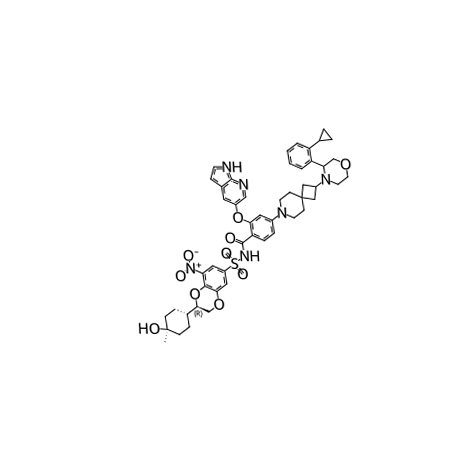 C[C@]1(O)CC[C@H]([C@@H]2COc3cc(S(=O)(=O)NC(=O)c4ccc(N5CCC6(CC5)CC(N5CCOCC5c5ccccc5C5CC5)C6)cc4Oc4cnc5[nH]ccc5c4)cc([N+](=O)[O-])c3O2)CC1